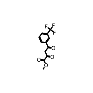 COC(=O)C(=O)CC(=O)c1cccc(C(F)(F)F)c1